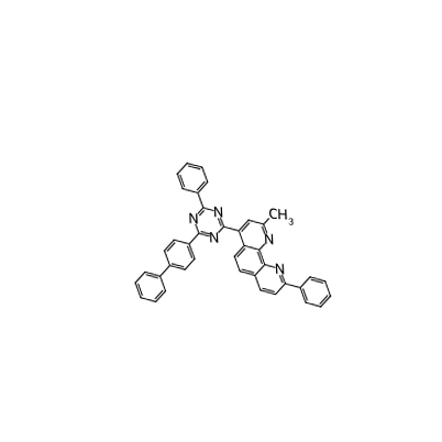 Cc1cc(-c2nc(-c3ccccc3)nc(-c3ccc(-c4ccccc4)cc3)n2)c2ccc3ccc(-c4ccccc4)nc3c2n1